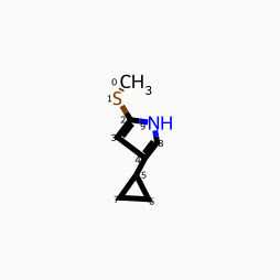 CSc1cc(C2CC2)c[nH]1